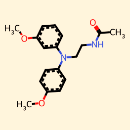 COc1ccc(N(CCNC(C)=O)c2cccc(OC)c2)cc1